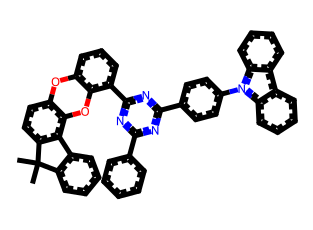 CC1(C)c2ccccc2-c2c1ccc1c2Oc2c(cccc2-c2nc(-c3ccccc3)nc(-c3ccc(-n4c5ccccc5c5ccccc54)cc3)n2)O1